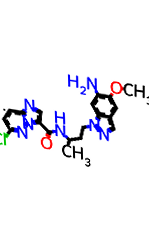 COc1cc2cnn(CCC(C)NC(=O)c3cnc4[c]cc(Cl)nn34)c2cc1N